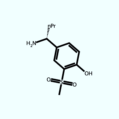 CCC[C@@H](N)c1ccc(O)c(S(C)(=O)=O)c1